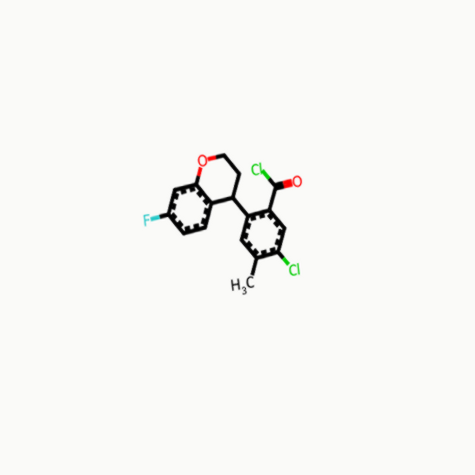 Cc1cc(C2CCOc3cc(F)ccc32)c(C(=O)Cl)cc1Cl